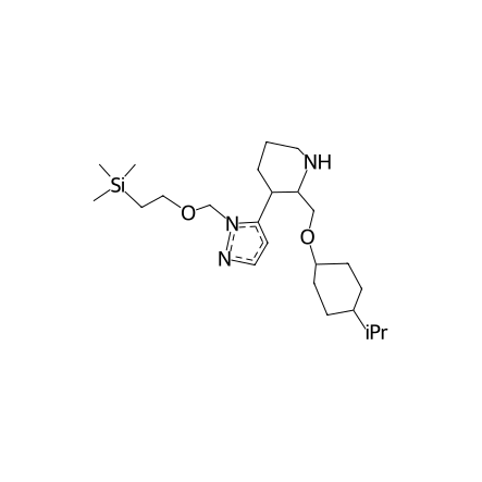 CC(C)C1CCC(OCC2NCCCC2c2ccnn2COCC[Si](C)(C)C)CC1